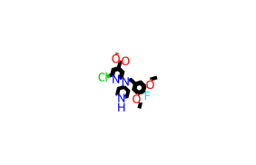 CCOc1cc(CN(c2cc(C(=O)OC)cc(Cl)n2)C2CCNCC2)cc(OCC)c1F